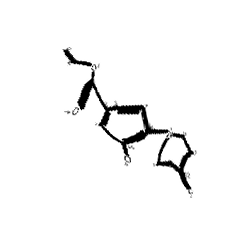 CCOC(=O)c1ccc(N2CCC(=O)C2)c(Cl)c1